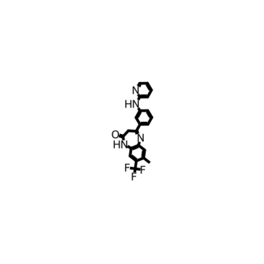 Cc1cc2c(cc1C(F)(F)F)NC(=O)CC(c1cccc(Nc3ccccn3)c1)=N2